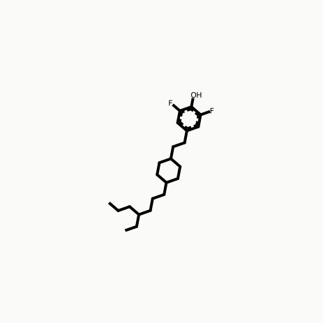 CCCC(CC)CCCC1CCC(CCc2cc(F)c(O)c(F)c2)CC1